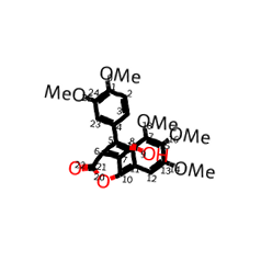 COc1ccc(-c2c3c(CO)c(c4cc(OC)c(OC)c(OC)c24)OC3=O)cc1OC